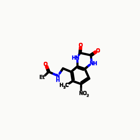 CCC(=O)NCc1c(C)c([N+](=O)[O-])cc2[nH]c(=O)c(=O)[nH]c12